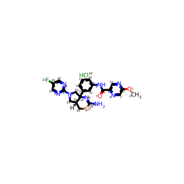 COc1cnc(C(=O)Nc2cccc(C34CN(c5ncc(F)cn5)C[C@H]3CSC(N)=N4)c2)cn1.Cl